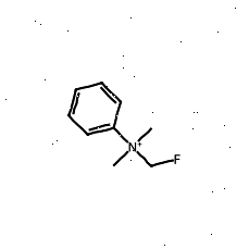 C[N+](C)(CF)c1ccccc1